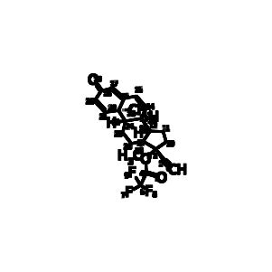 C#C[C@]1(OC(=O)C(F)(F)F)CC[C@H]2[C@@H]3C=CC4=CC(=O)C=C[C@]4(C)[C@H]3CC[C@@]21C